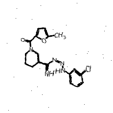 Cc1ccc(C(=O)N2CCCC(C(=N)/N=N\Nc3cccc(Cl)c3)C2)o1